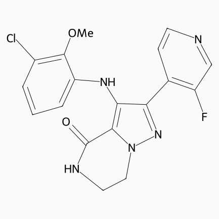 COc1c(Cl)cccc1Nc1c(-c2ccncc2F)nn2c1C(=O)NCC2